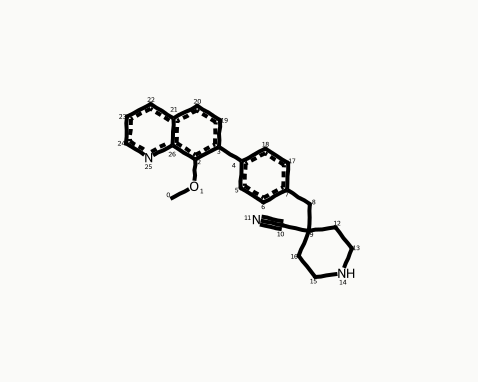 COc1c(-c2ccc(CC3(C#N)CCNCC3)cc2)ccc2cccnc12